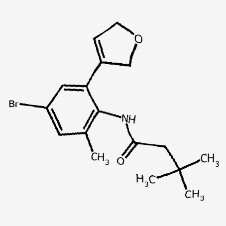 Cc1cc(Br)cc(C2=CCOC2)c1NC(=O)CC(C)(C)C